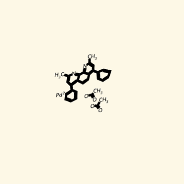 CC(=O)[O-].CC(=O)[O-].Cc1cc(-c2ccccc2)c2ccc3c(-c4ccccc4)cc(C)nc3c2n1.[Pd+2]